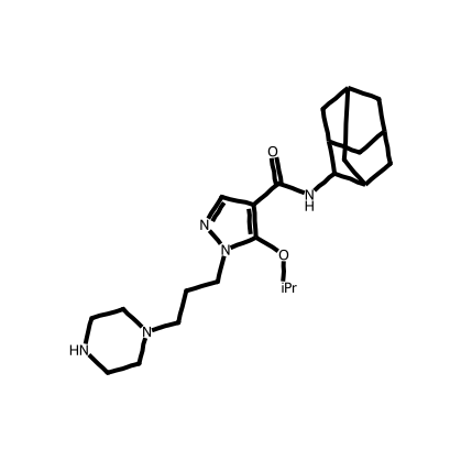 CC(C)Oc1c(C(=O)NC2C3CC4CC(C3)CC2C4)cnn1CCCN1CCNCC1